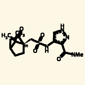 CNC(=O)c1n[nH]cc1NS(=O)(=O)C[C@@]12CCC(CC1=O)C2(C)C